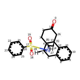 O=C1CC[C@H]2[C@H]3Cc4ccccc4[C@@]2(CCN3S(=O)(=O)c2ccccc2)C1